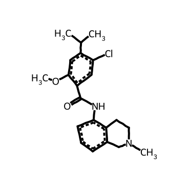 COc1cc(C(C)C)c(Cl)cc1C(=O)Nc1cccc2c1CCN(C)C2